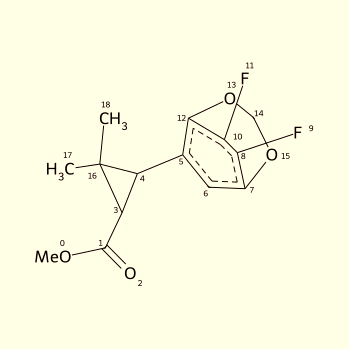 COC(=O)C1C(c2cc3c(F)c(F)c2OCO3)C1(C)C